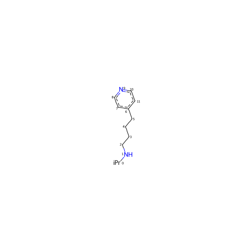 CC(C)NCCCCc1ccncc1